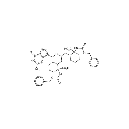 Nc1nc2c(ncn2COC(CC2CCCCC2(NC(=O)OCc2ccccc2)C(=O)O)CC2CCCCC2(NC(=O)OCc2ccccc2)C(=O)O)c(=O)[nH]1